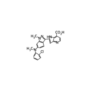 CN(c1ccc2c(-c3cc4nccc(C(=O)O)c4[nH]3)nn(C)c2c1)c1ccccc1Cl